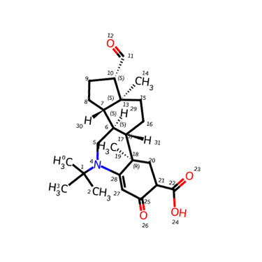 CC(C)(C)N1C[C@H]2[C@@H]3CC[C@H](C=O)[C@@]3(C)CC[C@@H]2[C@@]2(C)CC(C(=O)O)C(=O)C=C12